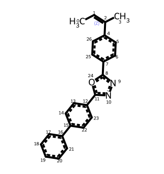 C/C=C(/C)c1ccc(-c2nnc(-c3ccc(-c4ccccc4)cc3)o2)cc1